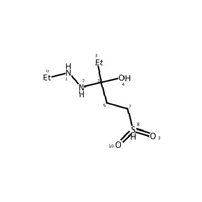 CCNNC(O)(CC)CC[SH](=O)=O